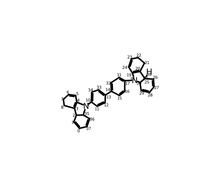 C1=CC2C3=C(C=CCC3)N(c3ccc(-c4ccc(N5C6=C(CCC=C6)[C@@H]6C=CC=CC65)cc4)cc3)C2C=C1